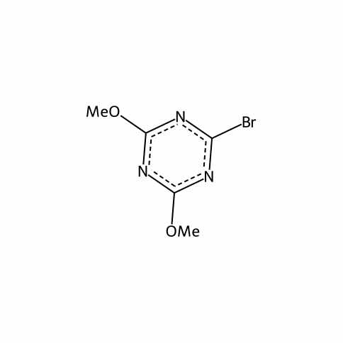 COc1nc(Br)nc(OC)n1